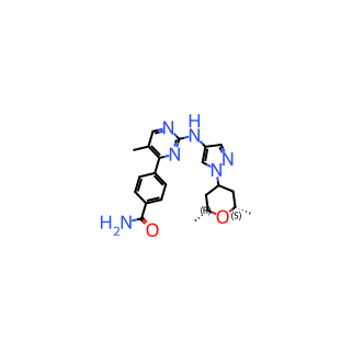 Cc1cnc(Nc2cnn(C3C[C@@H](C)O[C@@H](C)C3)c2)nc1-c1ccc(C(N)=O)cc1